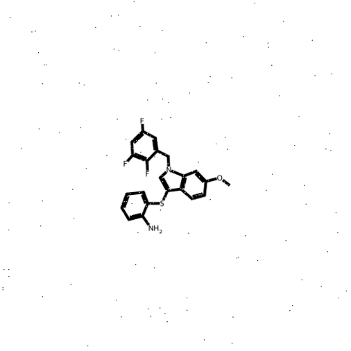 COc1ccc2c(Sc3ccccc3N)cn(Cc3cc(F)cc(F)c3F)c2c1